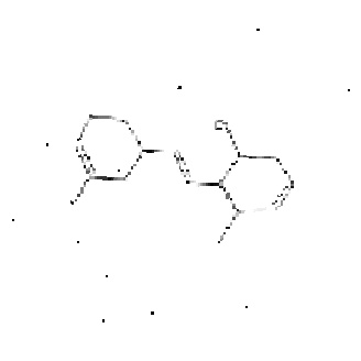 CCC1CC=CC(C)C1C=CC1CCC=C(C)C1